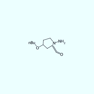 CCCCOC1CCN(N)C(=C=O)C1